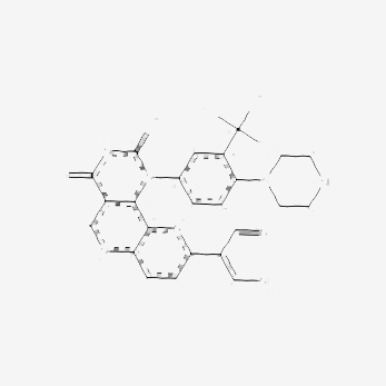 N=C/C(=C\N)c1ccc2ncc3c(=O)[nH]c(=O)n(-c4ccc(N5CCNCC5)c(C(F)(F)F)c4)c3c2n1